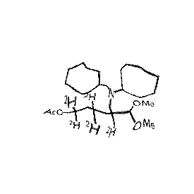 [2H]C([2H])(OC(C)=O)C([2H])([2H])C([2H])(C(OC)OC)N(C1CCCCC1)C1CCCCC1